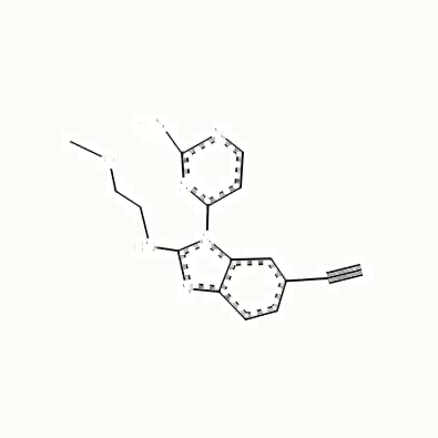 [C]#Cc1ccc2nc(NCCOC)n(-c3ccnc(N)n3)c2c1